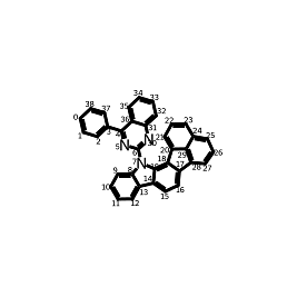 c1ccc(-c2nc(-n3c4ccccc4c4ccc5c(c43)-c3cccc4cccc-5c34)nc3ccccc23)cc1